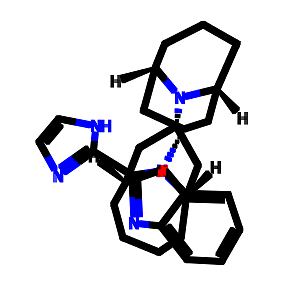 c1ccc2c(c1)nc(-c1ncc[nH]1)n2[C@H]1C[C@H]2CCC[C@@H](C1)N2[C@@H]1C[C@@H]2CCCC[C@@H](C2)C1